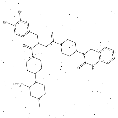 CCOC(=O)C1CN(C)CCN1C1CCN(C(=O)C(CC(=O)N2CCC(N3Cc4ccccc4NC3=O)CC2)Cc2ccc(Br)c(Br)c2)CC1